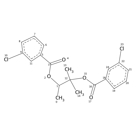 CC(OC(=O)c1cccc(Cl)c1)C(C)(C)OC(=O)c1cccc(Cl)c1